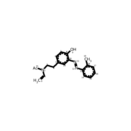 C=CN(CCc1ccc(O)c(N=Nc2ccccc2C)c1)C(C)=O